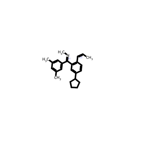 C/C=C\c1ccc(C2CCCC2)cc1/C(=N/C)c1cc(C)cc(C)c1